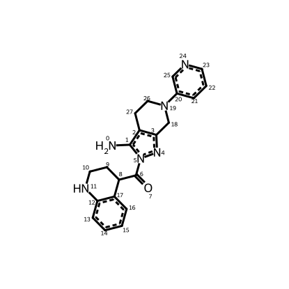 Nc1c2c(nn1C(=O)C1CCNc3ccccc31)CN(c1cccnc1)CC2